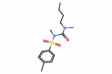 CCCCN(C)C(=O)N(C)S(=O)(=O)c1ccc(C)cc1